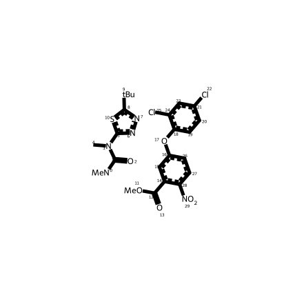 CNC(=O)N(C)c1nnc(C(C)(C)C)s1.COC(=O)c1cc(Oc2ccc(Cl)cc2Cl)ccc1[N+](=O)[O-]